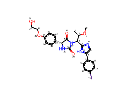 CO[C@H](C)[C@@H](c1ncc(-c2ccc(I)cc2)[nH]1)N1C(=O)N[C@H](c2ccc(OCCO)cc2)C1=O